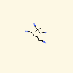 CC(C)(C#N)CC#N.N#CC=CCCC#N